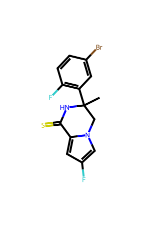 CC1(c2cc(Br)ccc2F)Cn2cc(F)cc2C(=S)N1